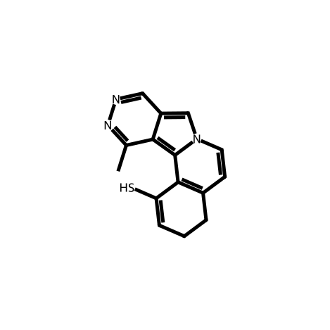 Cc1nncc2cn3ccc4c(c3c12)C(S)=CCC4